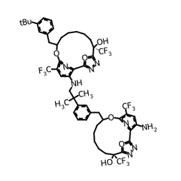 CC(C)(C)c1cccc(CC2CCCCC[C@](O)(C(F)(F)F)c3nnc(o3)-c3nc(c(C(F)(F)F)cc3NCC(C)(C)c3cccc(CC4CCCCC[C@](O)(C(F)(F)F)c5nnc(o5)-c5nc(c(C(F)(F)F)cc5N)O4)c3)O2)c1